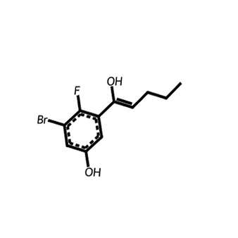 CCC/C=C(\O)c1cc(O)cc(Br)c1F